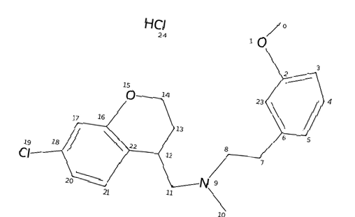 COc1cccc(CCN(C)CC2CCOc3cc(Cl)ccc32)c1.Cl